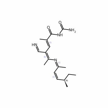 CC[C@@H](C)\C=C/C(C)=N\C(C)=C(C=N)/C=C(\C)C(=O)NC(N)=O